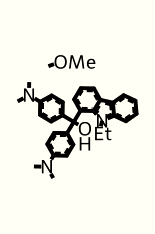 CCn1c2ccccc2c2cccc(C(O)(c3ccc(N(C)C)cc3)c3ccc(N(C)C)cc3)c21.COC